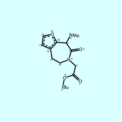 CNC1C(=O)N(CC(=O)OC(C)(C)C)CCc2ccoc21